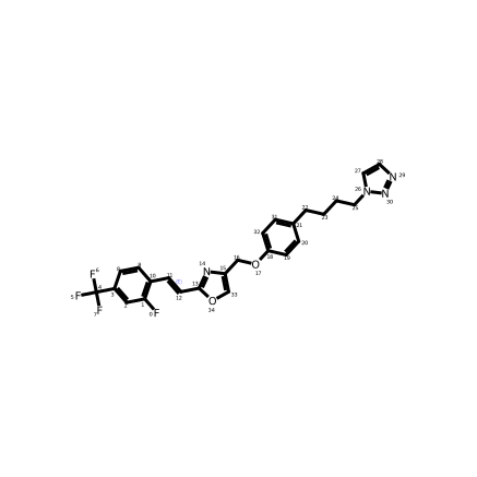 Fc1cc(C(F)(F)F)ccc1/C=C/c1nc(COc2ccc(CCCCn3ccnn3)cc2)co1